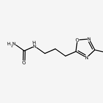 Cc1noc(CCCNC(N)=O)n1